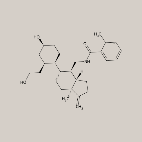 C=C1CC[C@H]2[C@H](CNC(=O)c3ccccc3C)[C@@H]([C@@H]3CC[C@H](O)C[C@@H]3CCO)CC[C@]12C